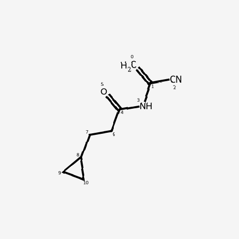 C=C(C#N)NC(=O)CCC1CC1